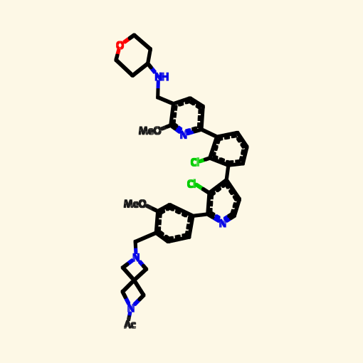 COc1cc(-c2nccc(-c3cccc(-c4ccc(CNC5CCOCC5)c(OC)n4)c3Cl)c2Cl)ccc1CN1CC2(C1)CN(C(C)=O)C2